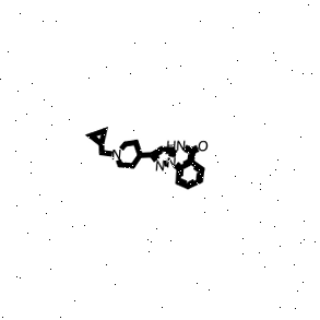 O=c1[nH]c2cc(C3CCN(CC4CC4)CC3)nn2c2ccccc12